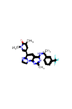 Cc1nc(N[C@H](C)c2cccc(C(F)(F)F)c2)c2c(n1)N1CCN=C1C(c1cc(C)c(=O)n(C)c1)=C2